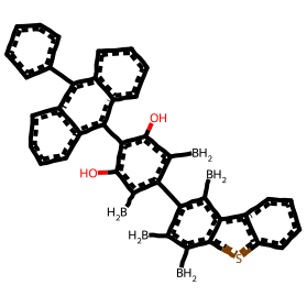 Bc1c(O)c(-c2c3ccccc3c(-c3ccccc3)c3ccccc23)c(O)c(B)c1-c1c(B)c(B)c2sc3ccccc3c2c1B